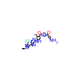 C#CCn1cc(-c2cnc3c(Nc4ccc(C(=O)N5CCN(C(=O)C6CC(N)C6)CC5)c(CC)c4)nccn23)c(C(F)F)n1